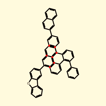 c1ccc(-c2ccccc2-c2c(-c3ccccc3)cccc2N(c2ccc(-c3ccc4ccccc4c3)cc2)c2ccc(-c3ccc4oc5ccccc5c4c3)cc2)cc1